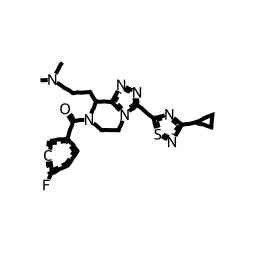 CN(C)CCC1c2nnc(-c3nc(C4CC4)ns3)n2CCN1C(=O)c1ccc(F)cc1